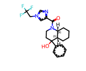 O=C(c1cn(CC(F)(F)F)cn1)N1CCC(O)(c2ccccc2)[C@H]2CCCC[C@H]21